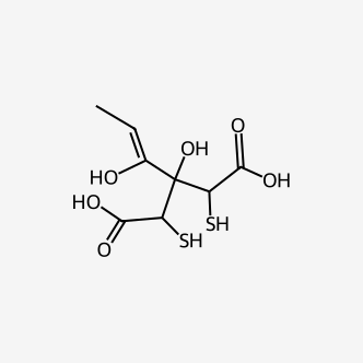 CC=C(O)C(O)(C(S)C(=O)O)C(S)C(=O)O